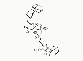 O=P(O)(CP(=O)(O)OP(=O)(O)CP(=O)(O)OC[C@H]1O[C@@H](C23CC4CC(CC(C4)C2)C3)[C@H](O)[C@@H]1O)OC[C@@H]1CC[C@H](C23CC4CC(CC(C4)C2)C3)O1